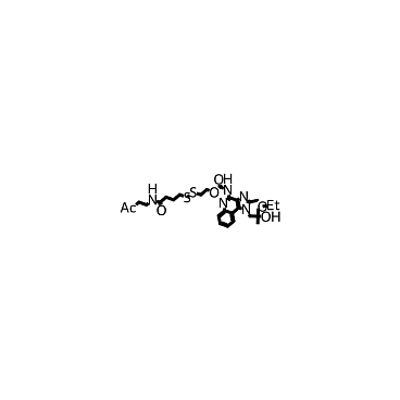 CCOCc1nc2c(NC(=O)OCCSSCCCC(=O)NCCC(C)=O)nc3ccccc3c2n1CC(C)(C)O